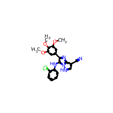 COc1cc(-c2nc3c(C#N)c[nH]n3c2Nc2ccccc2Cl)cc(OC)c1OC